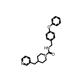 O=C(NCc1ccc(Oc2ccccc2)cc1)N1CCC(Cc2cccnc2)CC1